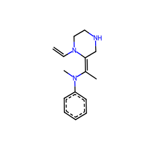 C=CN1CCNC/C1=C(\C)N(C)c1ccccc1